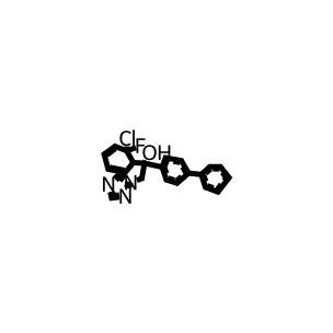 OC(Cn1cncn1)(c1ccc(-c2ccccc2)cc1)C1C=CC=CC1(F)Cl